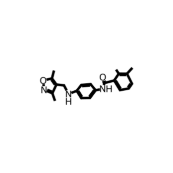 Cc1cccc(C(=O)Nc2ccc(NCc3c(C)noc3C)cc2)c1C